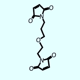 O=C1C=CC(=O)N1CCCOCCN1C(=O)C=CC1=O